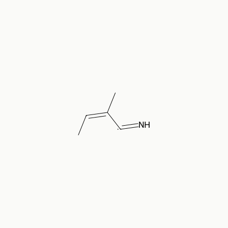 CC=C(C)[C]=N